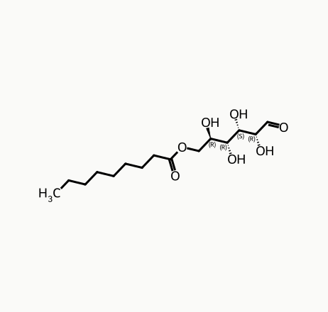 CCCCCCCCC(=O)OC[C@@H](O)[C@@H](O)[C@H](O)[C@@H](O)C=O